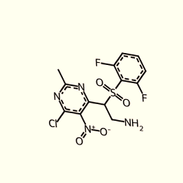 Cc1nc(Cl)c([N+](=O)[O-])c(C(CN)S(=O)(=O)c2c(F)cccc2F)n1